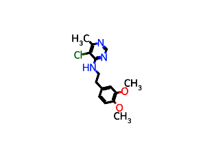 COc1ccc(CCNc2ncnc(C)c2Cl)cc1OC